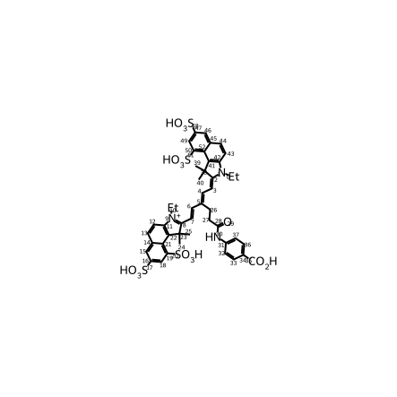 CCN1/C(=C/C=C(/C=C/C2=[N+](CC)c3ccc4cc(S(=O)(=O)O)cc(S(=O)(=O)O)c4c3C2(C)C)CCC(=O)Nc2ccc(C(=O)O)cc2)C(C)(C)c2c1ccc1cc(S(=O)(=O)O)cc(S(=O)(=O)O)c21